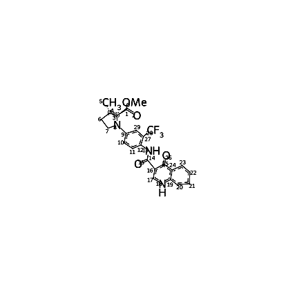 COC(=O)[C@@H]1[C@@H](C)CCN1c1ccc(NC(=O)c2c[nH]c3ccccc3c2=O)c(C(F)(F)F)c1